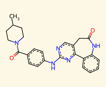 CC1CCN(C(=O)c2ccc(Nc3ncc4c(n3)-c3ccccc3NC(=O)C4)cc2)CC1